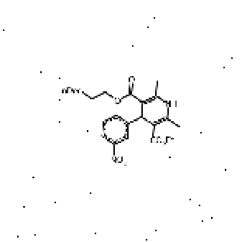 CCCCCCCCCCCCOC(=O)C1=C(C)NC(C)=C(C(=O)OCC)C1c1cccc([N+](=O)[O-])c1